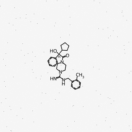 Cc1ccccc1CNC(=N)N1CCN(C(=O)[C@](O)(c2ccccc2)C2CCCC2)CC1